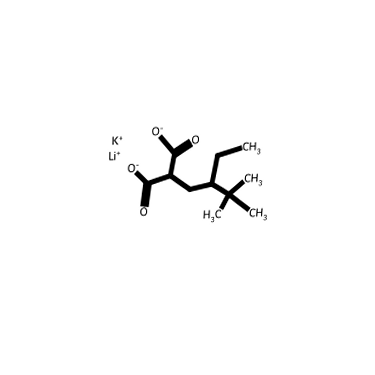 CCC(CC(C(=O)[O-])C(=O)[O-])C(C)(C)C.[K+].[Li+]